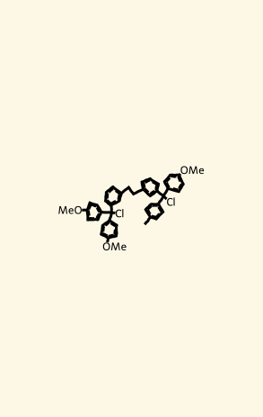 COc1ccc(C(Cl)(c2ccc(C)cc2)c2cccc(CCc3cccc(C(Cl)(c4ccc(OC)cc4)c4ccc(OC)cc4)c3)c2)cc1